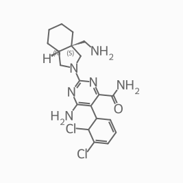 NC[C@]12CCCC[C@H]1CN(c1nc(N)c(C3C=CC=C(Cl)C3Cl)c(C(N)=O)n1)C2